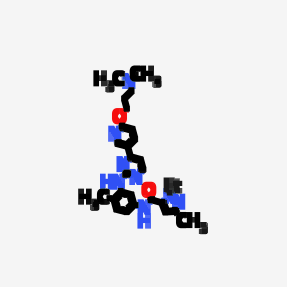 CCn1nc(C)cc1C(=O)Nc1ccc(C)c(Nc2nccc(-c3ccc(OCCCN(C)C)nc3)n2)c1